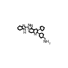 NCc1ccc(-c2nc3ccn4c(-c5nc6ccccc6[nH]5)nnc4c3cc2-c2ccccc2)cc1